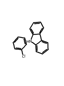 Clc1ccccc1.c1ccc2c(c1)[nH]c1ccccc12